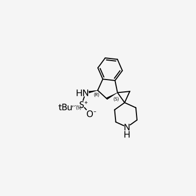 CC(C)(C)[S@@+]([O-])N[C@@H]1C[C@]2(CC23CCNCC3)c2ccccc21